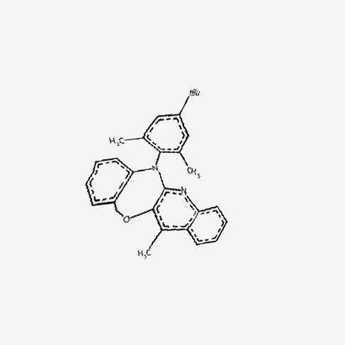 Cc1cc(C(C)(C)C)cc(C)c1N1c2ccccc2Oc2c1nc1ccccc1c2C